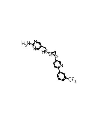 Nc1ncc(CN[C@@H]2C[C@H]2c2ccc(-c3cccc(C(F)(F)F)c3)nc2)cn1